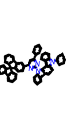 c1ccc(-c2cc(-c3ccc4c(c3)-c3ccccc3C43c4ccccc4-c4ccccc43)nc(-n3c4ccccc4c4ccc5c(c6ccccc6n5-c5ccccc5)c43)n2)cc1